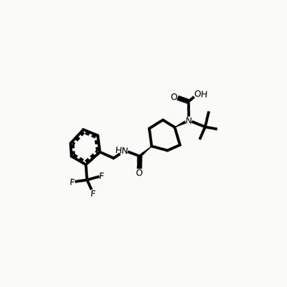 CC(C)(C)N(C(=O)O)[C@H]1CC[C@@H](C(=O)NCc2ccccc2C(F)(F)F)CC1